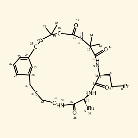 CC[C@H](C)[C@@H]1NC(=O)[C@H](CCC(C)C)NC(=O)C(C)(C)NC(=O)CC(C)(C)SCc2cccc(c2)CSCCNC1=O